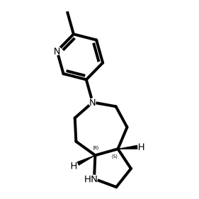 Cc1ccc(N2CC[C@@H]3CCN[C@@H]3CC2)cn1